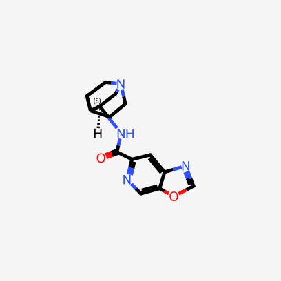 O=C(N[C@@H]1CN2CCC1CC2)c1cc2ncoc2cn1